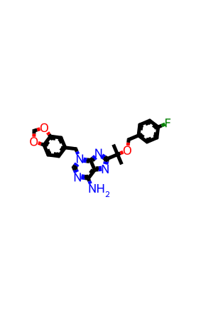 CC(C)(OCc1ccc(F)cc1)c1nc2c(N)ncn(Cc3ccc4c(c3)OCO4)c-2n1